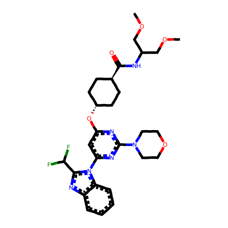 COCC(COC)NC(=O)[C@H]1CC[C@H](Oc2cc(-n3c(C(F)F)nc4ccccc43)nc(N3CCOCC3)n2)CC1